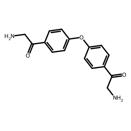 NCC(=O)c1ccc(Oc2ccc(C(=O)CN)cc2)cc1